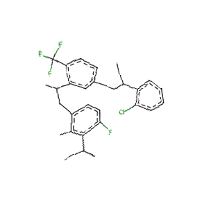 Cc1c(CC(C)c2cc(CC(C)c3ccccc3Cl)ccc2C(F)(F)F)ccc(F)c1C(C)C